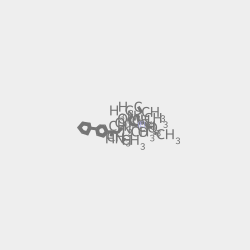 CCOC(=O)/C(C)=C/[C@H](C(C)C)N(C)C(=O)[C@@H](NC(=O)C(NC)C(C)(C)c1ccc(-c2ccccc2)cc1)C(C)(C)C